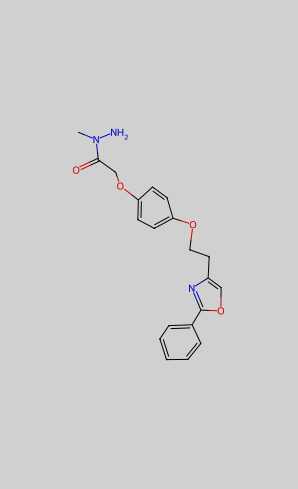 CN(N)C(=O)COc1ccc(OCCc2coc(-c3ccccc3)n2)cc1